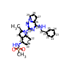 Cc1cc2c(NS(C)(=O)=O)cccc2n1-c1nc(NCc2ccccc2)c2cccn2n1